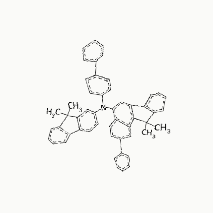 CC1(C)c2ccccc2-c2ccc(N(c3ccc(-c4ccccc4)cc3)c3cc4c(c5cc(-c6ccccc6)ccc35)C(C)(C)c3ccccc3-4)cc21